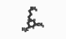 CC1CC(C)CN(CCCN)C1